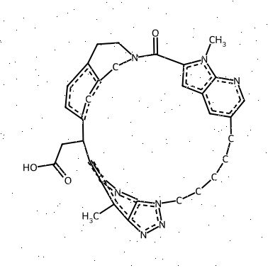 Cc1c2cnc3c1nnn3CCCCCc1cnc3c(c1)cc(n3C)C(=O)N1CCc3ccc(cc3C1)C2CC(=O)O